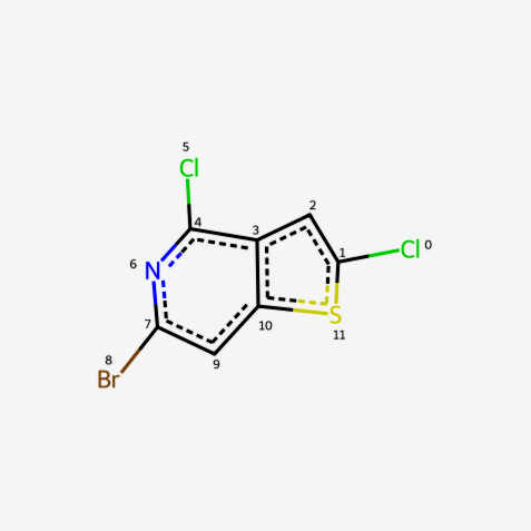 Clc1cc2c(Cl)nc(Br)cc2s1